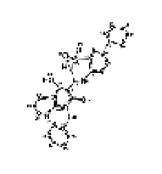 O=c1c(C2=Nc3ccc(-c4ccccc4)cc3S(=O)(=O)N2)c(O)c2cccnc2n1Cc1ccccc1